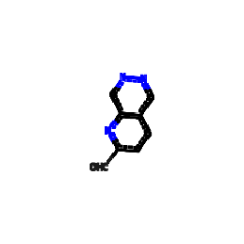 O=Cc1ccc2cnncc2n1